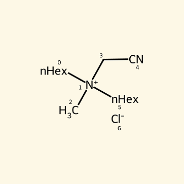 CCCCCC[N+](C)(CC#N)CCCCCC.[Cl-]